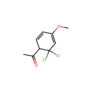 COC1=CC(Cl)(Cl)C(C(C)=O)C=C1